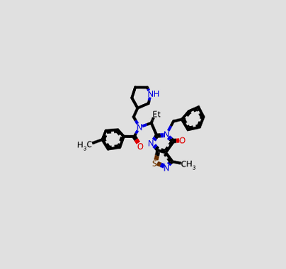 CCC(c1nc2snc(C)c2c(=O)n1Cc1ccccc1)N(CC1CCCNC1)C(=O)c1ccc(C)cc1